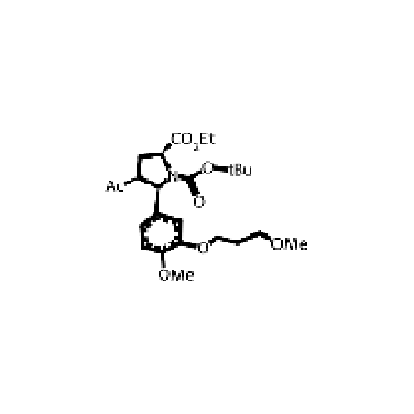 CCOC(=O)[C@@H]1C[C@H](C(C)=O)[C@H](c2ccc(OC)c(OCCCOC)c2)N1C(=O)OC(C)(C)C